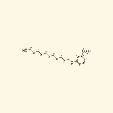 O=C(O)c1cccc(OCCCCCCCCCCCO)c1